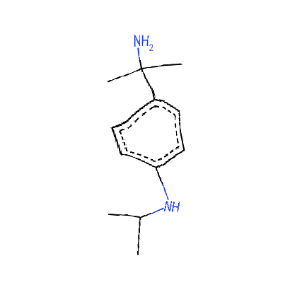 CC(C)Nc1ccc(C(C)(C)N)cc1